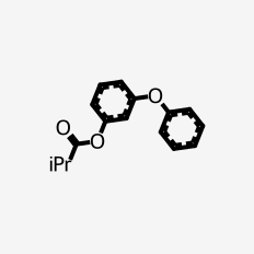 CC(C)C(=O)Oc1cccc(Oc2ccccc2)c1